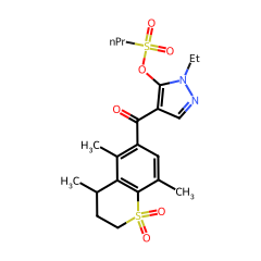 CCCS(=O)(=O)Oc1c(C(=O)c2cc(C)c3c(c2C)C(C)CCS3(=O)=O)cnn1CC